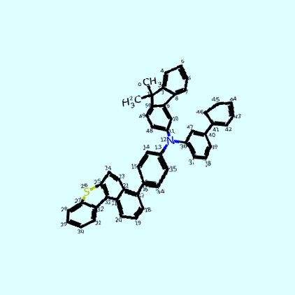 CC1(C)c2ccccc2-c2cc(N(c3ccc(-c4cccc5c4ccc4sc6ccccc6c45)cc3)c3cccc(C4=CC=CCC4)c3)ccc21